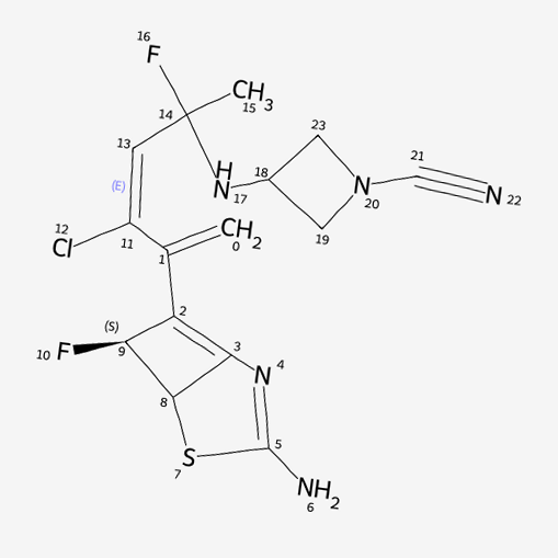 C=C(C1=C2N=C(N)SC2[C@H]1F)/C(Cl)=C\C(C)(F)NC1CN(C#N)C1